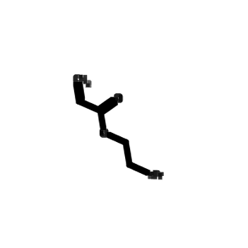 C=CC(=O)OCCCCC